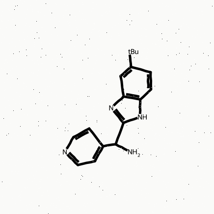 CC(C)(C)c1ccc2[nH]c(C(N)c3ccncc3)nc2c1